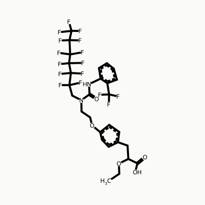 CCOC(Cc1ccc(OCCN(CC(F)(F)C(F)(F)C(F)(F)C(F)(F)C(F)(F)C(F)(F)F)C(=O)Nc2ccccc2C(F)(F)F)cc1)C(=O)O